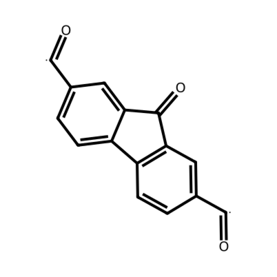 O=[C]c1ccc2c(c1)C(=O)c1cc([C]=O)ccc1-2